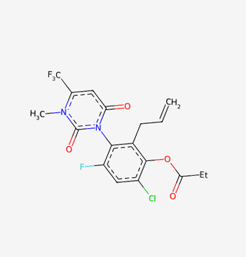 C=CCc1c(OC(=O)CC)c(Cl)cc(F)c1-n1c(=O)cc(C(F)(F)F)n(C)c1=O